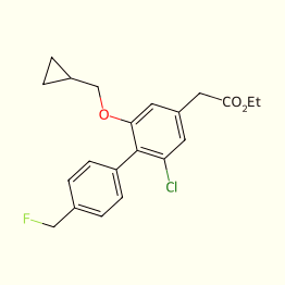 CCOC(=O)Cc1cc(Cl)c(-c2ccc(CF)cc2)c(OCC2CC2)c1